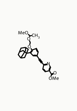 COC(=O)c1ccc(C#Cc2ccc(OCOC(C)OC)c(C34CC5CC(CC(C5)C3)C4)c2)nc1